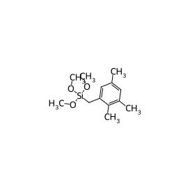 CO[Si](Cc1cc(C)cc(C)c1C)(OC)OC